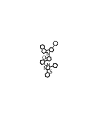 C1=CC(c2ccc3c(c2)c2c4ccccc4ccc2n3-c2cccc3c2oc2cccc(-c4nc(-c5ccccc5)c5sc6ccccc6c5n4)c23)=CCC1